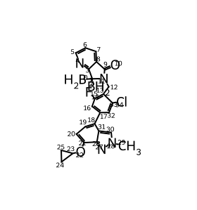 BC1(B)c2ncccc2C(=O)N1Cc1c(F)cc(-c2ccc(OC3CC3)c3nn(C)cc23)cc1Cl